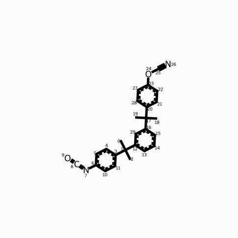 CC(C)(c1ccc(N=C=O)cc1)c1cccc(C(C)(C)c2ccc(OC#N)cc2)c1